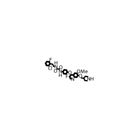 COc1cc2c(Oc3ccc(NC(=O)C(=O)NCCc4c(F)cccc4Cl)cc3F)ccnc2cc1OCC1CCNCC1